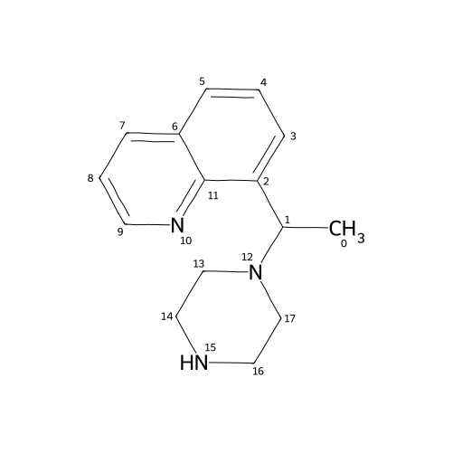 CC(c1cccc2cccnc12)N1CCNCC1